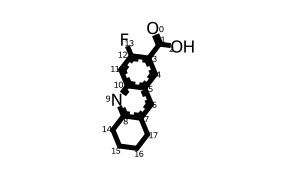 O=C(O)c1cc2cc3c(nc2cc1F)CCCC3